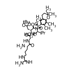 Cc1c(C)c(S(=O)(=O)N(C(=O)[C@H](CC(=O)OC(C)(C)C)NC(=O)CNC(=O)[C@@H](N)CCCNC(=N)N)[C@H](C(=O)O)C(C)C)c(C)c2c1OC(C)(C)CC2